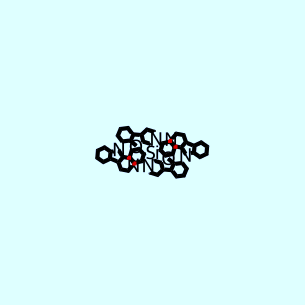 c1ccc([Si](c2ccccc2)(c2nccc3c2oc2c(-n4c5ccccc5c5ccncc54)cccc23)c2nccc3c2oc2c(-n4c5ccccc5c5ccncc54)cccc23)cc1